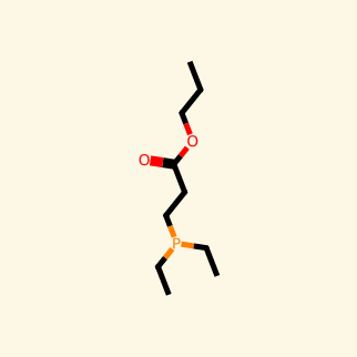 CCCOC(=O)CCP(CC)CC